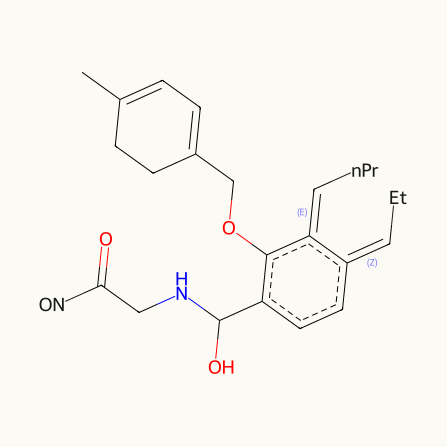 CC/C=c1/ccc(C(O)NCC(=O)N=O)c(OCC2=CC=C(C)CC2)/c1=C/CCC